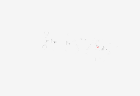 CC(C)(C)OC(=O)N1C2CCC1CC(c1ccc(N3CCN(S(C)(=O)=O)CC3)cc1)C2